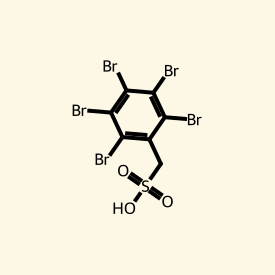 O=S(=O)(O)Cc1c(Br)c(Br)c(Br)c(Br)c1Br